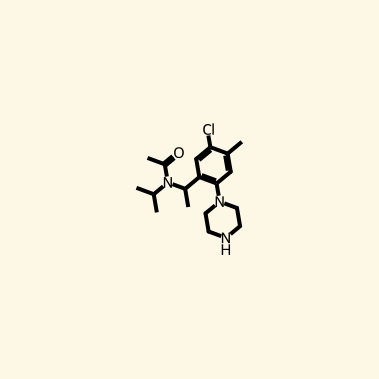 CC(=O)N(C(C)C)C(C)c1cc(Cl)c(C)cc1N1CCNCC1